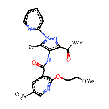 CCc1c(NC(=O)c2cc([N+](=O)[O-])cnc2OCCOC)c(C(=O)NC)nn1-c1ccccn1